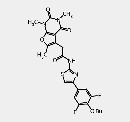 Cc1oc2c(c1CC(=O)Nc1nc(-c3cc(F)c(OCC(C)C)c(F)c3)cs1)c(=O)n(C)c(=O)n2C